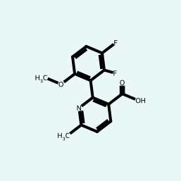 COc1ccc(F)c(F)c1-c1nc(C)ccc1C(=O)O